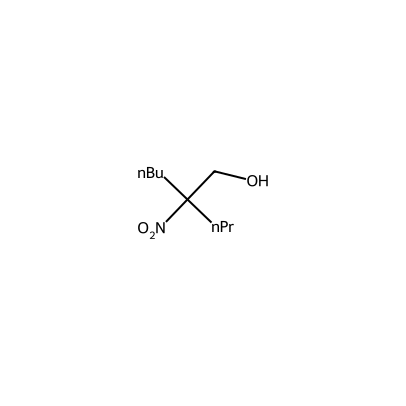 CCCCC(CO)(CCC)[N+](=O)[O-]